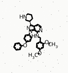 COc1ccc(CNc2nccc3c([C@@H]4CCCNC4)nn(-c4ccc(Oc5ccccc5)cc4)c23)c(OC)c1